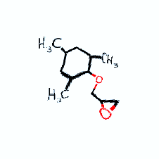 CC1CC(C)C(OCC2CO2)C(C)C1